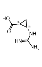 N=C(N)N[C@H]1C[C@@H]1C(=O)O